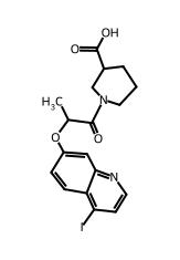 CC(Oc1ccc2c(I)ccnc2c1)C(=O)N1CCCC(C(=O)O)C1